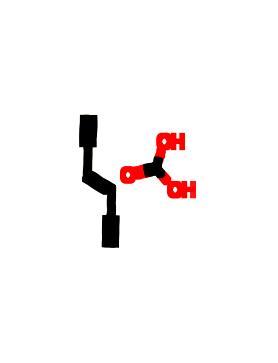 C#CC=CC#C.O=C(O)O